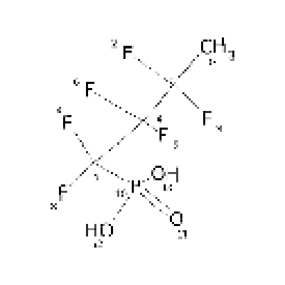 CC(F)(F)C(F)(F)C(F)(F)P(=O)(O)O